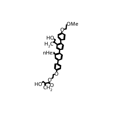 C=C(CO)C(=O)OCCOc1ccc(-c2ccc(-c3ccc(-c4ccc(OCCOC)cc4)c(C(=C)CO)c3)c(CCCCCC)c2)cc1